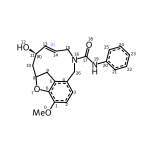 COc1ccc2c3c1OC(C3)C[C@@H](O)/C=C/CN(C(=O)Nc1ccccc1)C2